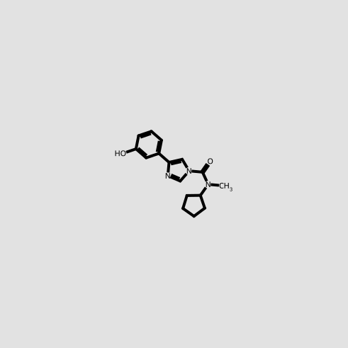 CN(C(=O)n1cnc(-c2cccc(O)c2)c1)C1CCCC1